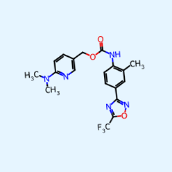 Cc1cc(-c2noc(C(F)(F)F)n2)ccc1NC(=O)OCc1ccc(N(C)C)nc1